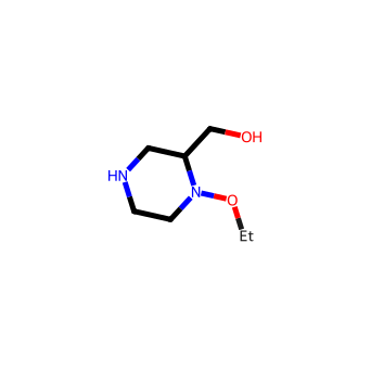 CCON1CCNCC1CO